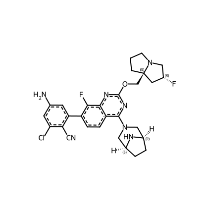 N#Cc1c(Cl)cc(N)cc1-c1ccc2c(N3C[C@H]4CC[C@@H](C3)N4)nc(OC[C@@]34CCCN3C[C@H](F)C4)nc2c1F